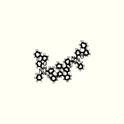 c1ccc(-c2nc(-c3cccc4c3oc3cccc(-c5ccccc5)c34)nc(-c3cccc4c3sc3cccc(-c5cccc(-c6ccccc6-c6cc(-c7ccccc7)c7c(c6)sc6c(-c8nc(-c9ccccc9)nc(-c9cccc%10c9oc9cccc(-c%11ccccc%11)c9%10)n8)cccc67)c5)c34)n2)cc1